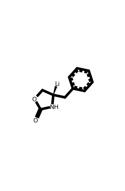 [Li][C@]1(Cc2ccccc2)COC(=O)N1